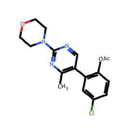 CC(=O)Oc1ccc(Cl)cc1-c1cnc(N2CCOCC2)nc1C